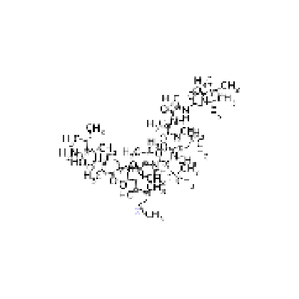 C/C=C\C[C@@H](C)[C@H](O)C(C(=O)N[C@H](CC)C(=O)N(C)CC(=O)N(C)[C@H](C(N)O)C(C)CC)N(C)C(=O)[C@@H](C(C)C)N(C)C(=O)[C@@H](CC(C)C)N(C)C(=O)[C@H](CC(C)C)N(C)C(=O)[C@H](C)NC(=O)[C@@H](C)NC(=O)CN(C)C(=O)[C@@H](C)C(C)C